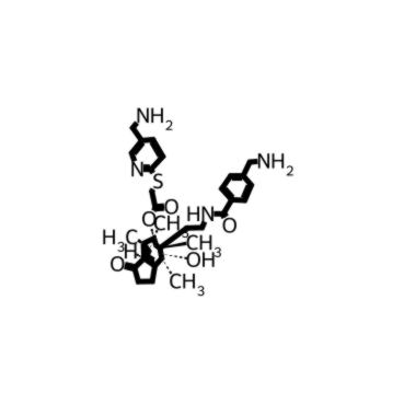 C[C@@H]1CC[C@@]23CCC(=O)[C@H]2[C@]1(C)[C@H](OC(=O)CSc1ccc(CN)cn1)C[C@](C)(CCNC(=O)c1ccc(CN)cc1)[C@@H](O)[C@@H]3C